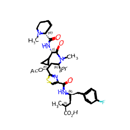 CC(=O)O[C@H](C[C@H](C(C)C)N(C)C(=O)[C@@H](NC(=O)[C@H]1CCCCN1C)C1CC1)c1nc(C(=O)N[C@@H](Cc2ccc(F)cc2)C[C@H](C)C(=O)O)cs1